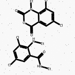 CCNC(=O)c1cc(Cl)cc(Cl)c1NCC.CCn1c(=O)oc(=O)c2cc(Cl)cc(Cl)c21